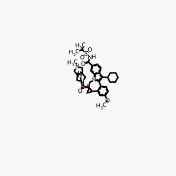 COc1ccc2c(c1)C1CC1(C(=O)N1CC34CN(C)CC3(CN(C)C4)C1)Cn1c-2c(C2CCCCC2)c2ccc(C(=O)NS(=O)(=O)C(C)C)cc21